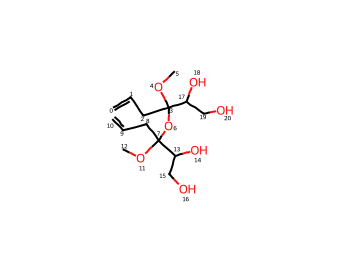 C=CCC(OC)(OC(CC=C)(OC)C(O)CO)C(O)CO